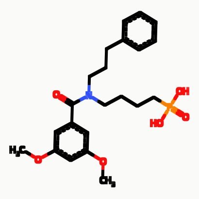 COc1cc(OC)cc(C(=O)N(CCCCP(=O)(O)O)CCCc2ccccc2)c1